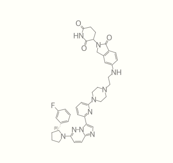 O=C1CCC(N2Cc3cc(NCCN4CCN(c5cccc(-c6cnc7ccc(N8CCC[C@@H]8c8cccc(F)c8)nn67)n5)CC4)ccc3C2=O)C(=O)N1